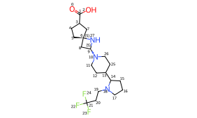 O=C(O)C1CC[C@]2(C1)C[C@H](N1CCC(C3CCCN3CCC(F)(F)F)CC1)N2